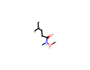 CON(C)C(=O)CCC(C)C